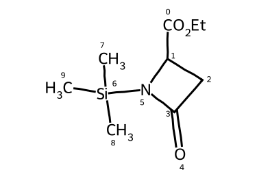 CCOC(=O)C1CC(=O)N1[Si](C)(C)C